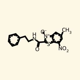 Cc1cc([N+](=O)[O-])c2sc(C(=O)NCCc3ccccc3)[n+]([O-])c2c1